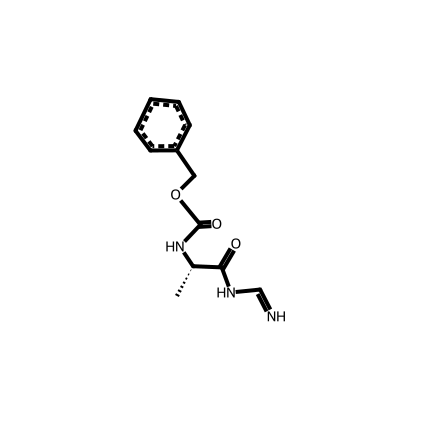 C[C@H](NC(=O)OCc1ccccc1)C(=O)NC=N